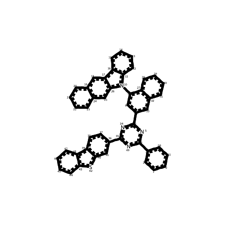 c1ccc(-c2nc(-c3cc(-n4c5ccccc5c5cc6ccccc6cc54)c4ccccc4c3)nc(-c3ccc4c(c3)sc3ccccc34)n2)cc1